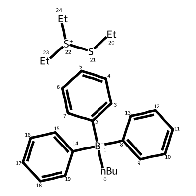 CCCC[B-](c1ccccc1)(c1ccccc1)c1ccccc1.CCS[S+](CC)CC